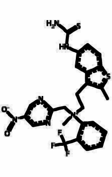 Cc1sc2ccc(NC(N)=S)cc2c1CC[N+](C)(Cc1ncc([N+](=O)[O-])cn1)c1ccccc1C(F)(F)F